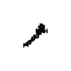 FCCOCCOCCOc1cnc2c(c1)[nH]c1ccccc12